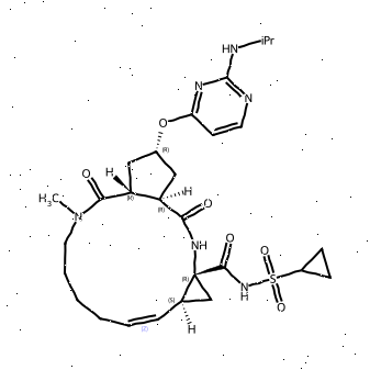 CC(C)Nc1nccc(O[C@@H]2C[C@H]3C(=O)N[C@]4(C(=O)NS(=O)(=O)C5CC5)C[C@H]4/C=C\CCCCN(C)C(=O)[C@@H]3C2)n1